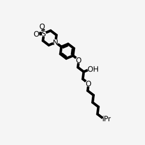 CC(C)CCCCCOCC(O)COc1ccc(N2CCS(=O)(=O)CC2)cc1